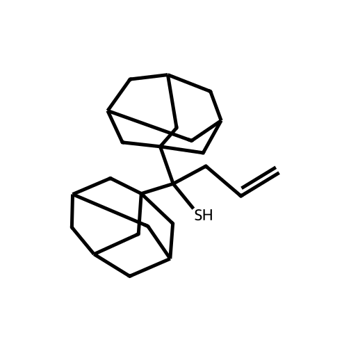 C=CCC(S)(C12CC3CC(CC(C3)C1)C2)C12CC3CC(CC(C3)C1)C2